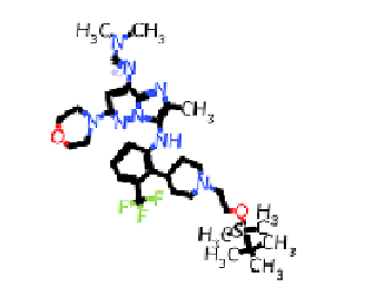 Cc1nc2c(/N=C/N(C)C)cc(N3CCOCC3)nn2c1Nc1cccc(C(F)(F)F)c1C1CCN(CCO[Si](C)(C)C(C)(C)C)CC1